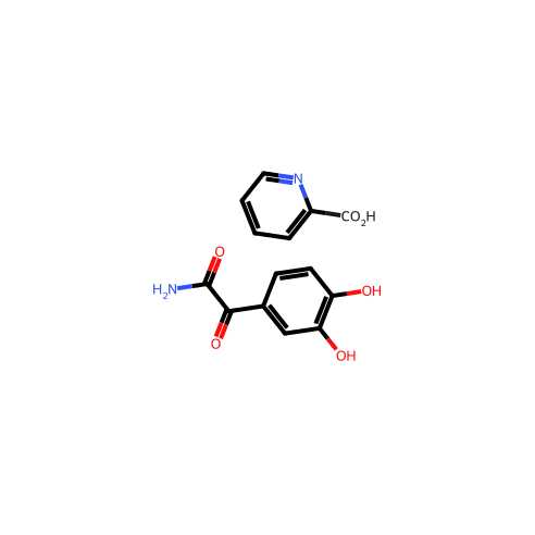 NC(=O)C(=O)c1ccc(O)c(O)c1.O=C(O)c1ccccn1